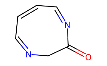 O=C1CN=CC=CC=N1